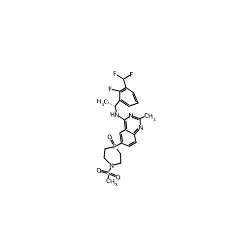 Cc1nc(N[C@H](C)c2cccc(C(F)F)c2F)c2cc(P3(=O)CCN(S(C)(=O)=O)CC3)ccc2n1